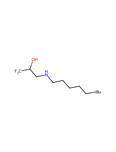 CCC(C)CCCCCNCC(O)C(F)(F)F